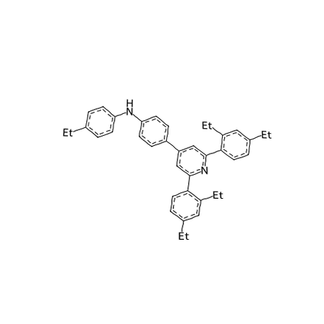 CCc1ccc(Nc2ccc(-c3cc(-c4ccc(CC)cc4CC)nc(-c4ccc(CC)cc4CC)c3)cc2)cc1